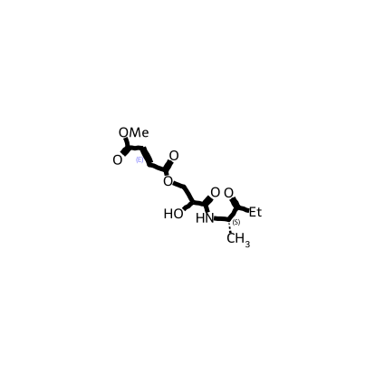 CCC(=O)[C@H](C)NC(=O)C(O)COC(=O)/C=C/C(=O)OC